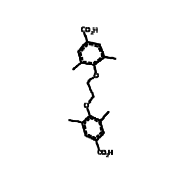 Cc1cc(C(=O)O)cc(C)c1OCCOc1c(C)cc(C(=O)O)cc1C